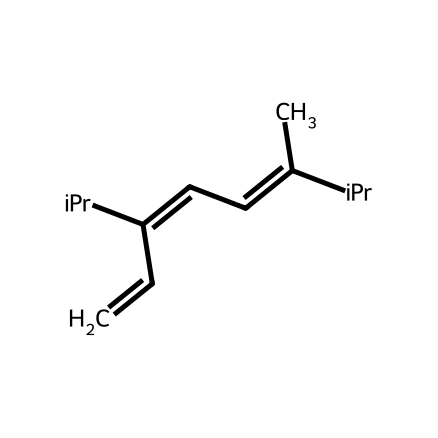 C=C/C(=C\C=C(/C)C(C)C)C(C)C